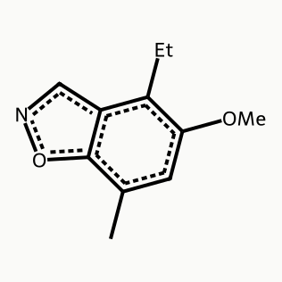 CCc1c(OC)cc(C)c2oncc12